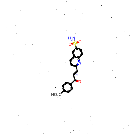 NS(=O)(=O)c1ccc2nc(/C=C/C(=O)c3ccc(C(=O)O)cc3)ccc2c1